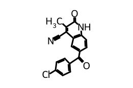 Cc1c(C#N)c2cc(C(=O)c3ccc(Cl)cc3)ccc2[nH]c1=O